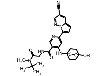 CN(C(=O)CNC(=O)c1cnc(-c2ccc3cc(C#N)cnn23)cc1NC12CCC(O)(CC1)CC2)C(C)(C)C